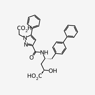 O=C(O)Cn1nc(C(=O)N[C@H](Cc2ccc(-c3ccccc3)cc2)C[C@@H](O)C(=O)O)cc1-c1ccccc1